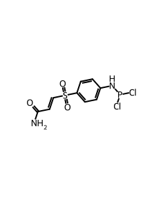 NC(=O)C=CS(=O)(=O)c1ccc(NP(Cl)Cl)cc1